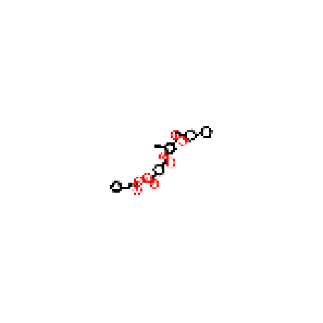 C#Cc1cc(C(=O)OC2(C#C)CCC(C3CCCCC3)CC2)ccc1OC(=O)C1CCC(C(=O)OCOC(=O)/C=C/c2ccccc2)CC1